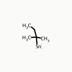 CC[C](C)(C)[Sn]